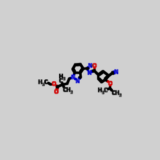 CCOC(=O)C(C)(C)CCn1ncc2c(-c3noc(-c4ccc(OC(C)C)c(C#N)c4)n3)cccc21